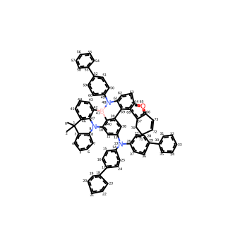 CC1(C)c2ccccc2N2c3cc(N(c4ccc(-c5ccccc5)cc4)c4ccc(-c5ccccc5)cc4)cc4c3B(c3cccc1c32)N(c1ccc(-c2ccccc2)cc1)c1ccc2oc3c(c2c1-4)CCC=C3